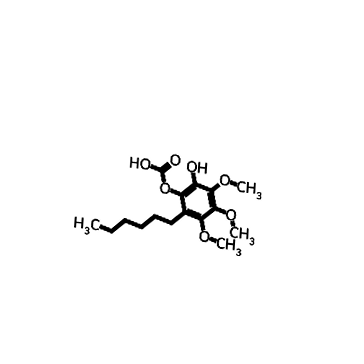 CCCCCCc1c(OC(=O)O)c(O)c(OC)c(OC)c1OC